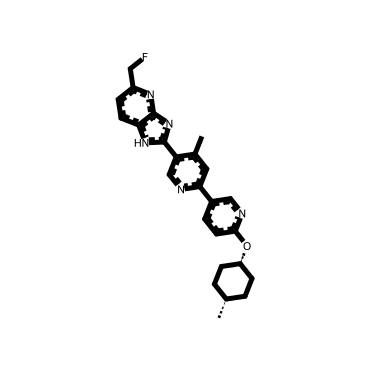 Cc1cc(-c2ccc(O[C@H]3CC[C@@H](C)CC3)nc2)ncc1-c1nc2nc(CF)ccc2[nH]1